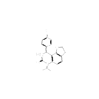 CC(C)N1C(=O)NC(c2ccc(F)cc2)c2c1ccc1c2OCC1